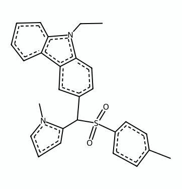 CCn1c2ccccc2c2cc(C(c3cccn3C)S(=O)(=O)c3ccc(C)cc3)ccc21